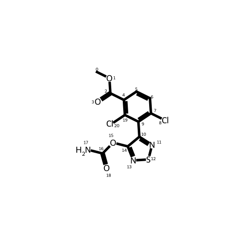 COC(=O)c1ccc(Cl)c(-c2nsnc2OC(N)=O)c1Cl